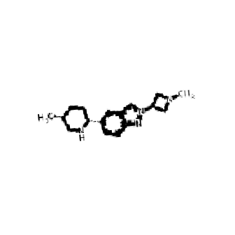 C[C@H]1CC[C@H](c2ccc3nn(C4CN(C)C4)cc3c2)NC1